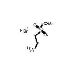 Br.COS(=O)(=S)CCN